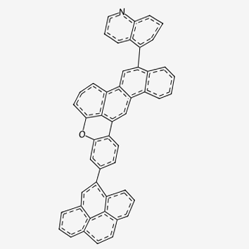 c1cc2ccc3cccc4c(-c5ccc6c(c5)Oc5cccc7c5c-6cc5c6ccccc6c(-c6cccc8ncccc68)cc75)cc(c1)c2c34